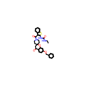 CCNC(=O)Nc1sc2ccccc2c1C(=O)N1CCC2(CC1)CC(=O)c1ccc(OCc3ccccc3)cc1O2